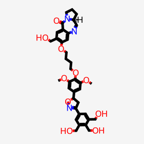 COc1cc(C2CC(c3cc(CO)c(CO)c(CO)c3)=NO2)cc(OC)c1OCCCCOc1cc2c(cc1CO)C(=O)N1CCC[C@H]1C=N2